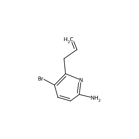 C=CCc1nc(N)ccc1Br